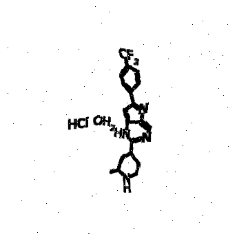 CC1CC(c2ncc3nc(-c4ccc(C(F)(F)F)cc4)cc-3[nH]2)CCN1.Cl.O